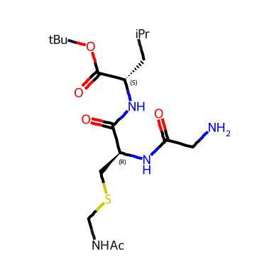 CC(=O)NCSC[C@H](NC(=O)CN)C(=O)N[C@@H](CC(C)C)C(=O)OC(C)(C)C